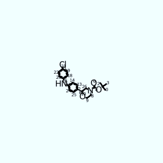 CC(C)(C)OC(=O)N1CCO[C@@H](c2ccc(Nc3ccc(Cl)cc3)cc2)C1